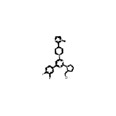 Cn1ccnc1C1CCN(c2cc(-c3ccc(F)c(Cl)c3)nc(N3CCCC3CO)n2)CC1